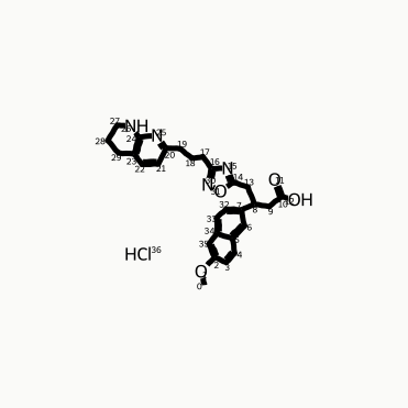 COc1ccc2cc(C(CC(=O)O)Cc3nc(CCCc4ccc5c(n4)NCCC5)no3)ccc2c1.Cl